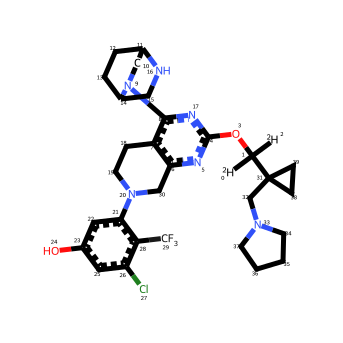 [2H]C([2H])(Oc1nc2c(c(N3CC4CCC3CN4)n1)CCN(c1cc(O)cc(Cl)c1C(F)(F)F)C2)C1(CN2CCCC2)CC1